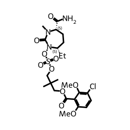 CC[C@H]1CC[C@@H](C(N)=O)N(C)C(=O)N1OS(=O)(=O)OCC(C)(C)COC(=O)c1c(OC)ccc(Cl)c1OC